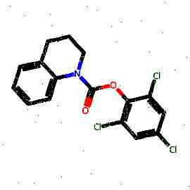 O=C(Oc1c(Cl)cc(Cl)cc1Cl)N1CCCc2ccccc21